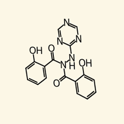 O=C(c1ccccc1O)N(Nc1ncncn1)C(=O)c1ccccc1O